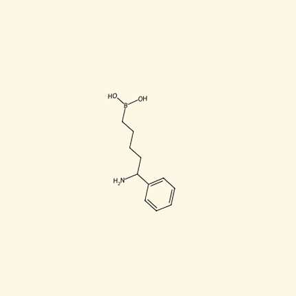 NC(CCCCB(O)O)c1ccccc1